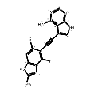 Cc1nc2c(F)c(C#Cc3c[nH]c4ncnc(N)c34)c(F)cc2s1